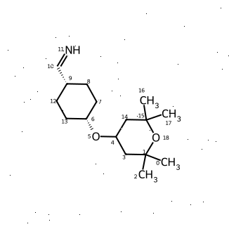 CC1(C)CC(O[C@H]2CC[C@@H](C=N)CC2)CC(C)(C)O1